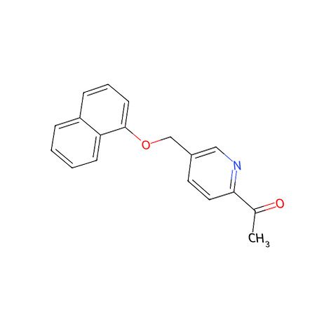 CC(=O)c1ccc(COc2cccc3ccccc23)cn1